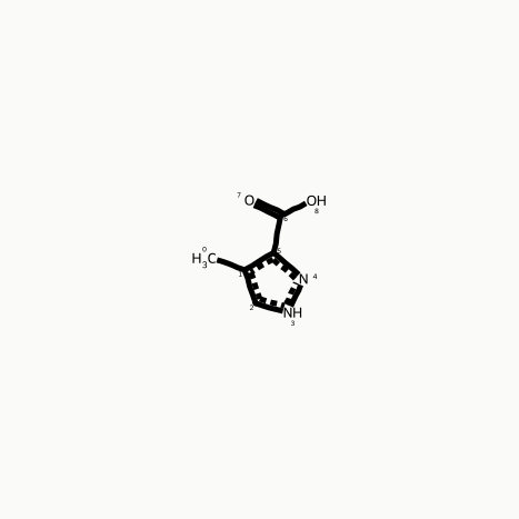 Cc1c[nH]nc1C(=O)O